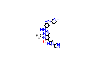 Cc1c(-c2cc3cnc(Nc4ccc(NC5CCCNC5)cc4)nc3n(CC(F)(F)F)c2=O)ncn1-c1ccnnc1